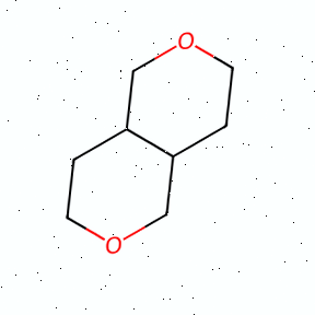 C1CC2COCCC2CO1